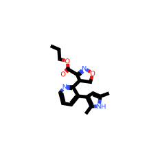 CCCOC(=O)C1=NOCC1c1ncccc1-c1cc(C)[nH]c1C